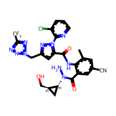 Cc1cc(C#N)cc(C(=O)N(N)[C@@H]2C[C@H]2CO)c1NC(=O)c1cc(Cn2nnc(C(F)(F)F)n2)nn1-c1ncccc1Cl